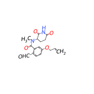 C=CCOc1ccc(C=O)c(C(=O)N(C)C2CCC(=O)NC2=O)c1